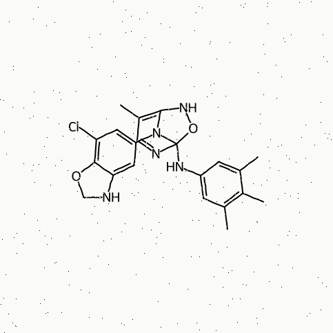 CC1=C2NOC(Nc3cc(C)c(C)c(C)c3)(N=C1)N2c1cc(Cl)c2c(c1)NCO2